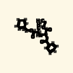 CCOC(=O)C(CC(=O)c1ccccc1)N[C@@H](C)C(=O)OCc1ccccc1